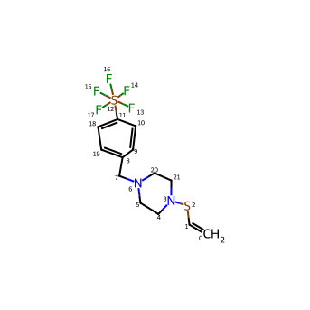 C=CSN1CCN(Cc2ccc(S(F)(F)(F)(F)F)cc2)CC1